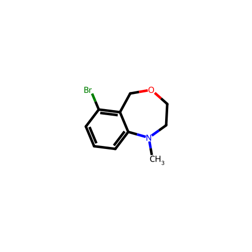 CN1CCOCc2c(Br)cccc21